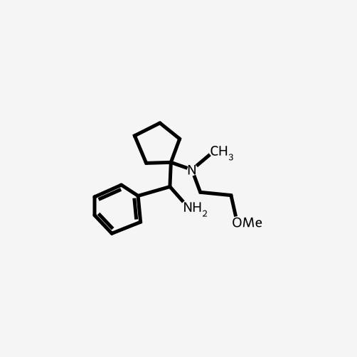 COCCN(C)C1(C(N)c2ccccc2)CCCC1